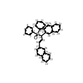 O=P(c1ccccc1)(c1ccccc1)C(C=Cc1ccc2ccccc2c1)c1ccc2ccccc2c1